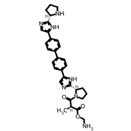 C[C@H](C(=O)OCN)C(=O)N1CCC[C@H]1c1ncc(-c2ccc(-c3ccc(-c4cnc([C@@H]5CCCN5)[nH]4)cc3)cc2)[nH]1